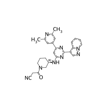 Cc1cc(-c2cc(N[C@@H]3CCCN(C(=O)CC#N)C3)nc(-c3cnn4ccccc34)n2)cc(C)n1